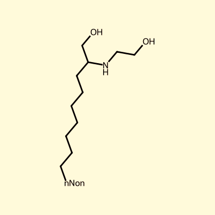 CCCCCCCCCCCCCCCCC(CO)NCCO